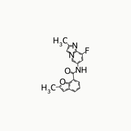 Cc1cn2cc(NC(=O)c3cccc4cc(C)oc34)cc(F)c2n1